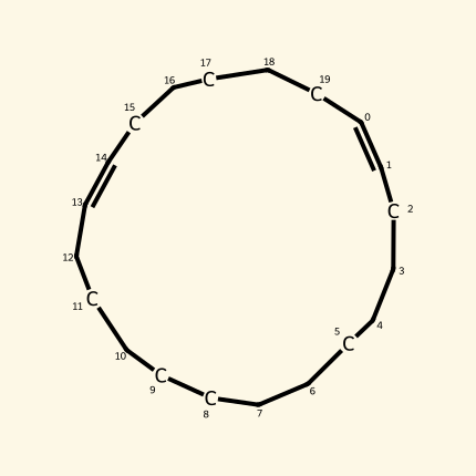 C1=C\CCCCCCCCCCC/C=C/CCCCC/1